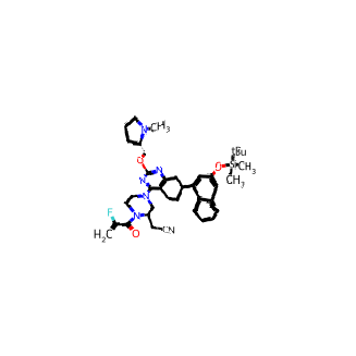 C=C(F)C(=O)N1CCN(c2nc(OC[C@@H]3CCCN3C)nc3c2CCC(c2cc(O[Si](C)(C)C(C)(C)C)cc4ccccc24)C3)CC1CC#N